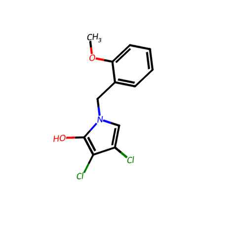 COc1ccccc1Cn1cc(Cl)c(Cl)c1O